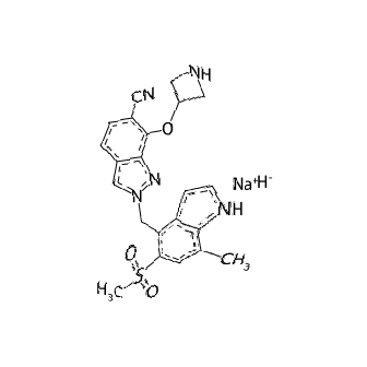 Cc1cc(S(C)(=O)=O)c(Cn2cc3ccc(C#N)c(OC4CNC4)c3n2)c2cc[nH]c12.[H-].[Na+]